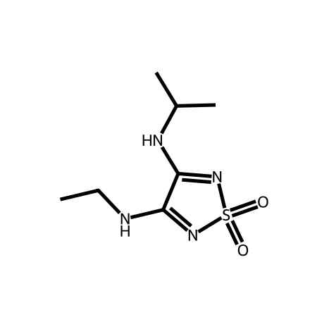 CCNC1=NS(=O)(=O)N=C1NC(C)C